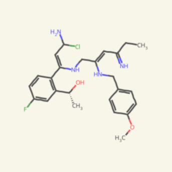 CCC(=N)/C=C(/CN/C(=C\C(N)Cl)c1ccc(F)cc1[C@@H](C)O)NCc1ccc(OC)cc1